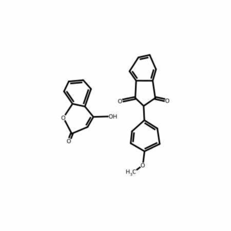 COc1ccc(C2C(=O)c3ccccc3C2=O)cc1.O=c1cc(O)c2ccccc2o1